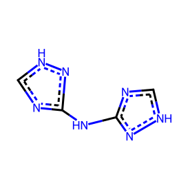 c1nc(Nc2nc[nH]n2)n[nH]1